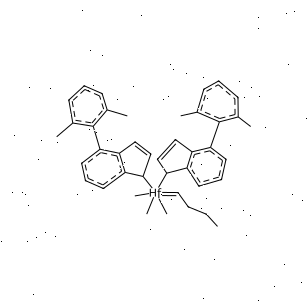 CCC[CH]=[Hf]([CH3])([CH3])([CH3])([CH]1C=Cc2c(-c3c(C)cccc3C)cccc21)[CH]1C=Cc2c(-c3c(C)cccc3C)cccc21